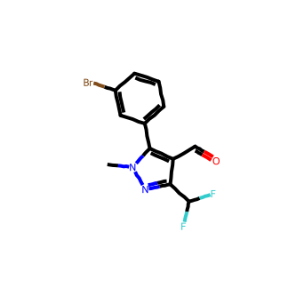 Cn1nc(C(F)F)c(C=O)c1-c1cccc(Br)c1